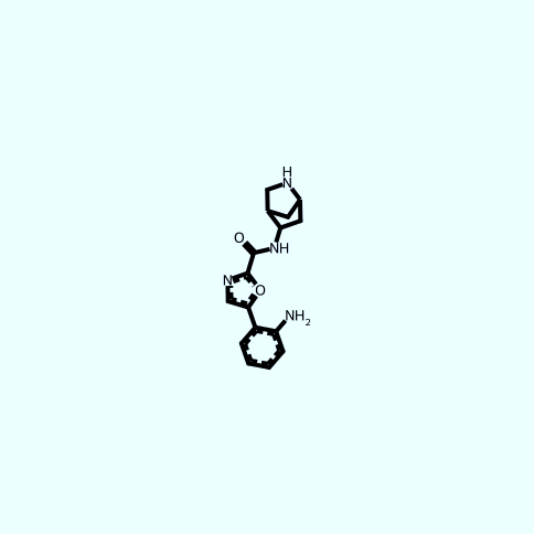 Nc1ccccc1-c1cnc(C(=O)NC2CC3CC2CN3)o1